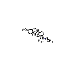 C/N=C(\C)[C@H]1CC[C@H]2[C@@H]3CCC4=C[C@H](O)CC[C@]4(C)[C@H]3CC[C@]12C